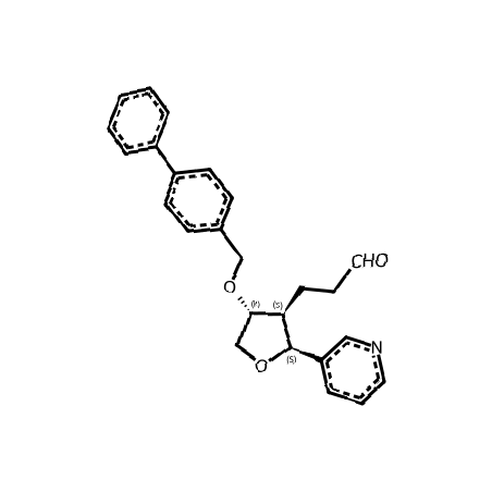 O=CCC[C@@H]1[C@@H](OCc2ccc(-c3ccccc3)cc2)CO[C@@H]1c1cccnc1